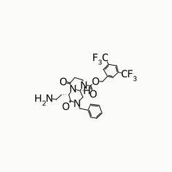 NCC[C@H]1C(=O)N(Cc2ccccc2)C[C@@H]2N(C(=O)OCc3cc(C(F)(F)F)cc(C(F)(F)F)c3)CCC(=O)N21